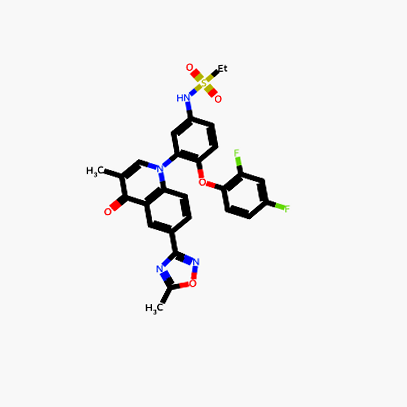 CCS(=O)(=O)Nc1ccc(Oc2ccc(F)cc2F)c(-n2cc(C)c(=O)c3cc(-c4noc(C)n4)ccc32)c1